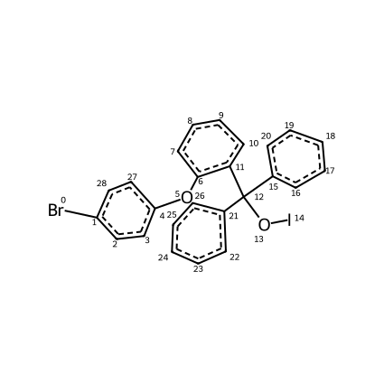 Brc1ccc(Oc2ccccc2C(OI)(c2ccccc2)c2ccccc2)cc1